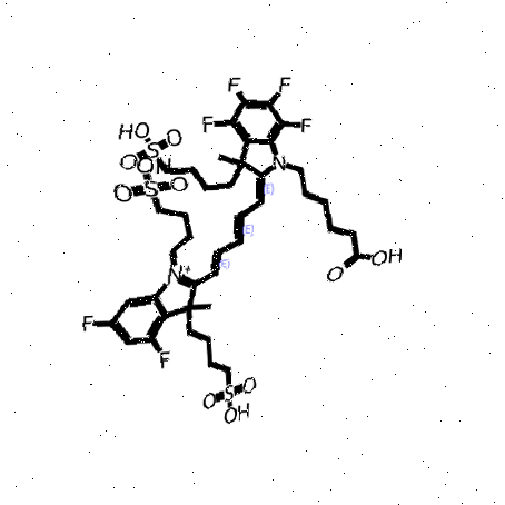 CC1(CCCCS(=O)(=O)O)C(/C=C/C=C/C=C2/N(CCCCCC(=O)O)c3c(F)c(F)c(F)c(F)c3C2(C)CCCCS(=O)(=O)O)=[N+](CCCCS(=O)(=O)O)c2cc(F)cc(F)c21